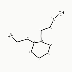 OCCCC1CCCCC1CCO